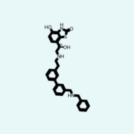 O=c1[nH]c2c(O)ccc([C@@H](O)CNCCc3cccc(-c4cccc(CNCc5ccccc5)c4)c3)c2s1